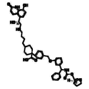 O=C(NC(c1ccccc1)c1cccc(OCc2ccc(C3(C(=O)O)CCC(CCCCNC[C@H](O)c4ccc(O)c5[nH]c(=O)ccc45)CC3)cc2)c1)O[C@H]1CN2CCC1CC2